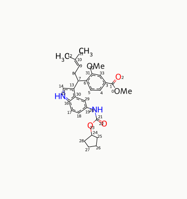 COC(=O)c1ccc(C(CC=C(C)C)c2c[nH]c3ccc(NC(=O)OC4CCCC4)cc23)c(OC)c1